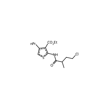 CCCc1csc(NC(=O)C(C)CCCl)c1C(=O)OCC